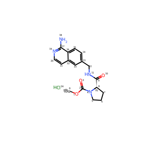 CC(C)(C)OC(=O)N1CCC[C@H]1C(=O)NCc1ccc2c(N)nccc2c1.Cl